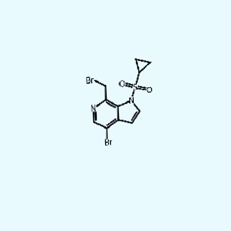 O=S(=O)(C1CC1)n1ccc2c(Br)cnc(CBr)c21